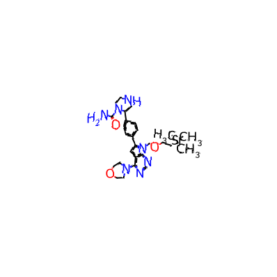 C[Si](C)(C)CCOCn1c(-c2ccc(C3CNCCN3C(N)=O)cc2)cc2c(N3CCOCC3)ncnc21